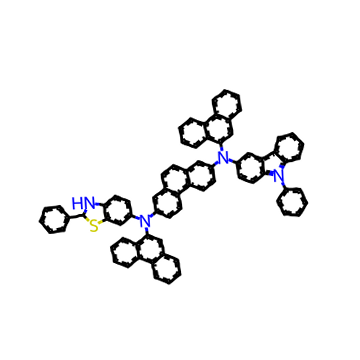 c1ccc(C2Nc3ccc(N(c4ccc5c(ccc6cc(N(c7ccc8c(c7)c7ccccc7n8-c7ccccc7)c7cc8ccccc8c8ccccc78)ccc65)c4)c4cc5ccccc5c5ccccc45)cc3S2)cc1